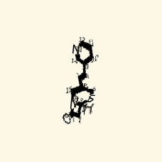 O=C1C[C@@H]2SCC(C=Cc3cccnc3)=CN12